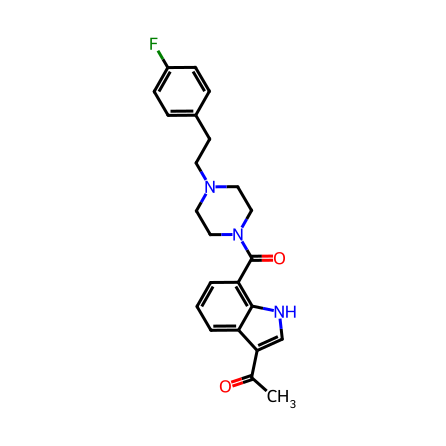 CC(=O)c1c[nH]c2c(C(=O)N3CCN(CCc4ccc(F)cc4)CC3)cccc12